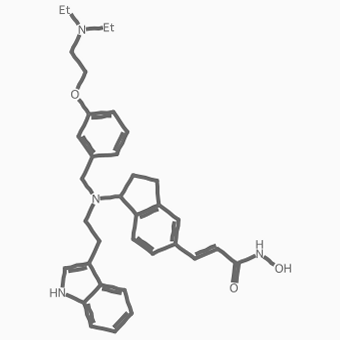 CCN(CC)CCOc1cccc(CN(CCc2c[nH]c3ccccc23)C2CCc3cc(C=CC(=O)NO)ccc32)c1